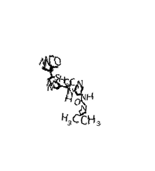 Cc1ncc(NC(=O)CN2CC(C)(C)C2)cc1NC(=O)c1cnn2cc(-c3cnn4c3COCC4)sc12